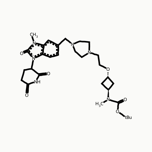 Cn1c(=O)n(C2CCC(=O)NC2=O)c2ccc(CN3CCN(CCO[C@H]4C[C@H](N(C)C(=O)OC(C)(C)C)C4)CC3)cc21